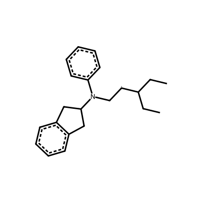 CCC([CH]CN(c1ccccc1)C1Cc2ccccc2C1)CC